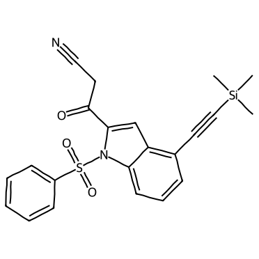 C[Si](C)(C)C#Cc1cccc2c1cc(C(=O)CC#N)n2S(=O)(=O)c1ccccc1